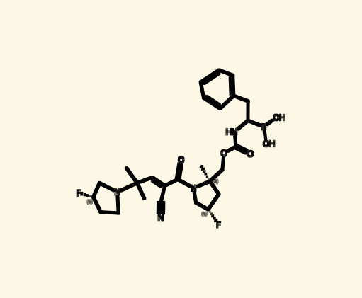 CC(C)(C=C(C#N)C(=O)N1C[C@@H](F)C[C@]1(C)COC(=O)NC(Cc1ccccc1)B(O)O)N1CC[C@H](F)C1